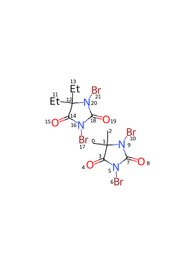 CC1(C)C(=O)N(Br)C(=O)N1Br.CCC1(CC)C(=O)N(Br)C(=O)N1Br